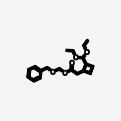 CCOC(OCC)C1CCC1CC(=O)OCOCc1ccccc1